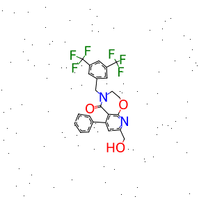 O=C1c2c(-c3ccccc3)cc(CO)nc2OCCN1Cc1cc(C(F)(F)F)cc(C(F)(F)F)c1